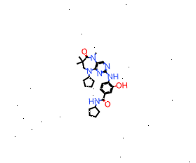 CN1C(=O)C(C)(C)CN(C2CCCC2)c2nc(Nc3ccc(C(=O)NC4CCCC4)cc3O)ncc21